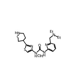 CCN(CC)Cc1cccc(NC(=O)Nc2csc(C3CCNCC3)n2)n1.Cl